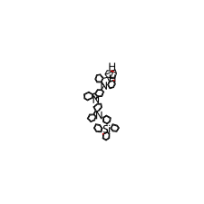 c1ccc([Si](c2ccccc2)(c2ccccc2)c2cccc(-n3c4ccccc4c4cc(-n5c6ccccc6c6cc(N7c8ccccc8C8(c9ccccc97)C7CC9C[C@H](C7)C[C@H]8C9)ccc65)ccc43)c2)cc1